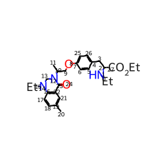 CCNC(Cc1ccc(OCC(C)N2CN(CC)c3ccc(C)cc3C2=O)cc1)C(=O)OCC